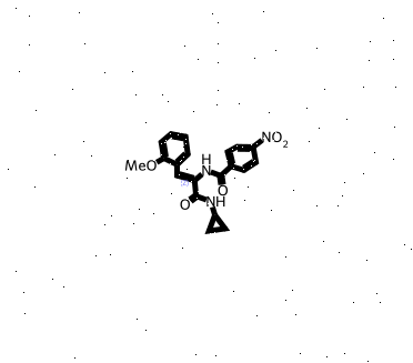 COc1ccccc1/C=C(\NC(=O)c1ccc([N+](=O)[O-])cc1)C(=O)NC1CC1